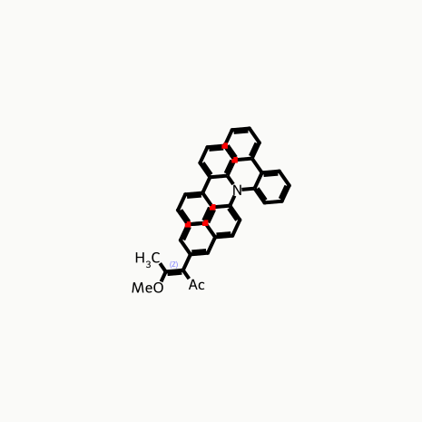 CO/C(C)=C(\C(C)=O)c1ccc2cc(N(c3ccccc3-c3ccccc3)c3ccccc3-c3ccccc3)ccc2c1